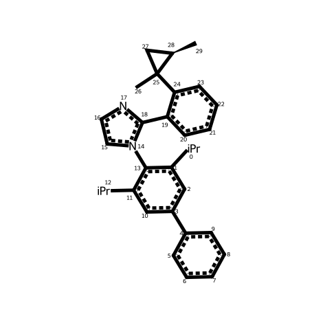 CC(C)c1cc(-c2ccccc2)cc(C(C)C)c1-n1ccnc1-c1ccccc1C1(C)C[C@H]1C